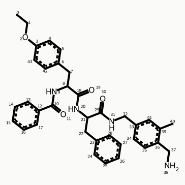 CCOc1ccc(CC(NC(=O)c2ccccc2)C(=O)NC(Cc2ccccc2)C(=O)NCc2ccc(CN)c(C)c2)cc1